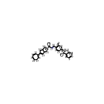 Cc1nc(NC(=O)c2cccnc2)ccc1/C=C/C(=O)N1CC2C=C(C3=CCC=CC=C3)CC2C1